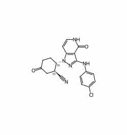 N#C[C@H]1CC(=O)CC[C@@H]1n1nc(Nc2ccc(Cl)cc2)c2c(=O)[nH]ccc21